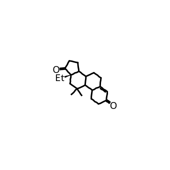 CC[C@]12CC(C)(C)C3C4CCC(=O)C=C4CCC3C1CCC2=O